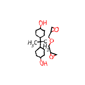 C(OCC1CO1)C1CO1.CC(C)(C1CCC(O)CC1)C1CCC(O)CC1